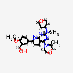 COc1ccc(-c2ccc3c(N4CCOC[C@@H]4C)nc(N(C)C4CCOCC4)nc3n2)cc1CO